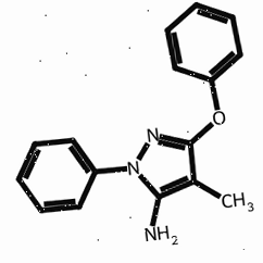 Cc1c(Oc2ccccc2)nn(-c2ccccc2)c1N